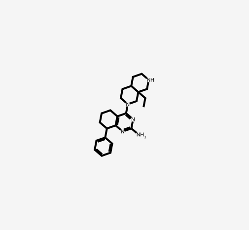 CCC12CNCCC1CCN(c1nc(N)nc3c1CCCC3c1ccccc1)C2